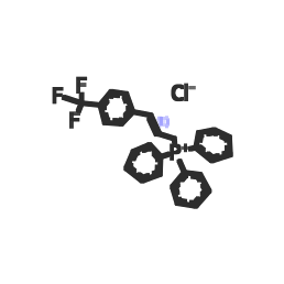 FC(F)(F)c1ccc(/C=C/C[P+](c2ccccc2)(c2ccccc2)c2ccccc2)cc1.[Cl-]